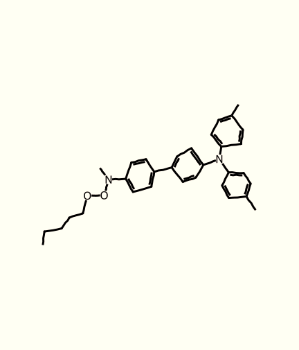 CCCCCOON(C)c1ccc(-c2ccc(N(c3ccc(C)cc3)c3ccc(C)cc3)cc2)cc1